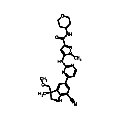 COCC1(C)CNc2c(C#N)cc(-c3ccnc(Nc4cc(C(=O)NC5CCOCC5)nn4C)n3)cc21